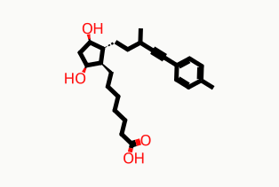 Cc1ccc(C#CC(C)CC[C@@H]2[C@@H](CCCCCCC(=O)O)[C@@H](O)C[C@H]2O)cc1